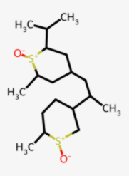 CC(C)C1CC(CC(C)C2CCC(C)[S+]([O-])C2)CC(C)[S+]1[O-]